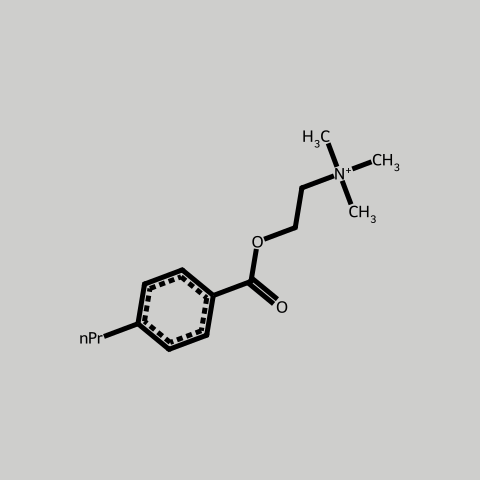 CCCc1ccc(C(=O)OCC[N+](C)(C)C)cc1